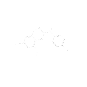 COc1cc(Cl)cc2c1NC(Nc1ccc(Br)cc1)=NS2